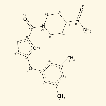 Cc1cc(C)cc(Oc2ccc(C(=O)N3CCC(C(N)=O)CC3)o2)c1